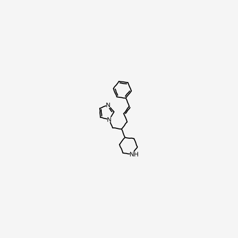 C(=Cc1ccccc1)CC(Cn1ccnc1)C1CCNCC1